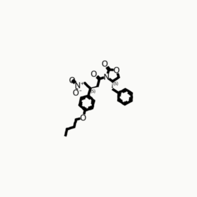 CCCCOc1ccc([C@H](CC(=O)N2C(=O)OC[C@@H]2Cc2ccccc2)C[N+](=O)[O-])cc1